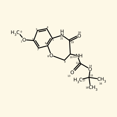 COc1ccc2c(c1)OCC(NC(=O)OC(C)(C)C)C(=O)N2